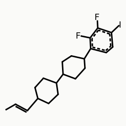 C/C=C/C1CCC(C2CCC(c3ccc(I)c(F)c3F)CC2)CC1